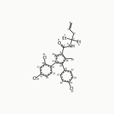 C=CCC(CC)(CC)NC(=O)c1nn(-c2ccc(Cl)cc2Cl)c(-c2ccc(Cl)cc2)c1C